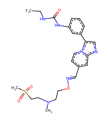 CN(CCO/N=C/c1ccn2c(-c3cccc(NC(=O)NCC(F)(F)F)c3)cnc2c1)CCS(C)(=O)=O